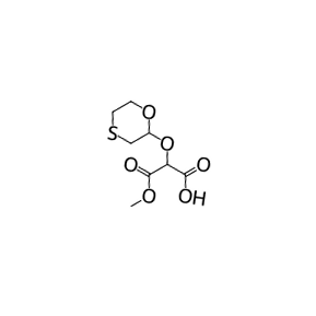 COC(=O)C(OC1CSCCO1)C(=O)O